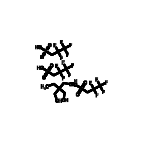 CCC(CO)(CO)CO.O=S(=O)(O)CC(F)(F)C(F)(F)F.O=S(=O)(O)CC(F)(F)C(F)(F)F.O=S(=O)(O)CC(F)(F)C(F)(F)F